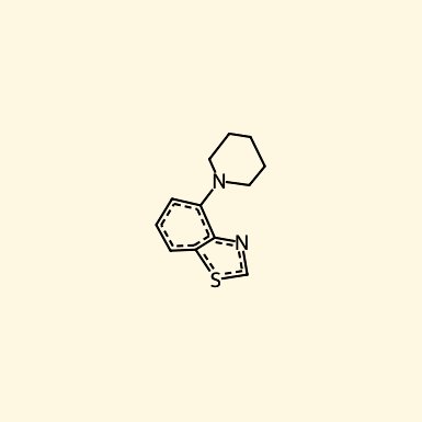 c1cc(N2CCCCC2)c2ncsc2c1